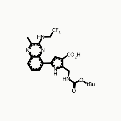 Cc1nc2cccc(-c3cc(C(=O)O)c(CNC(=O)OC(C)(C)C)[nH]3)c2nc1NCC(F)(F)F